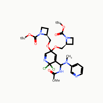 COC(=O)NC(C1=CC(OC[C@@H]2CCN2C(=O)OC(C)(C)C)(OC[C@@H]2CCN2C(=O)OC(C)(C)C)C=NC1(Cl)Cl)N(C)c1cccnc1